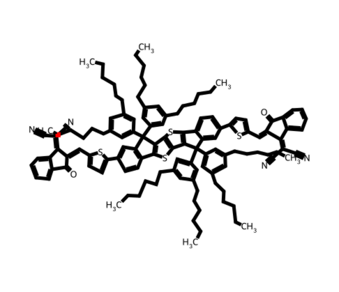 CCCCCCc1cc(CCCCCC)cc(C2(c3cc(CCCCCC)cc(CCCCCC)c3)c3cc(-c4ccc(/C=C5\C(=O)c6ccccc6C5=C(C#N)C#N)s4)ccc3-c3sc4c5c(sc4c32)-c2ccc(-c3ccc(/C=C4\C(=O)c6ccccc6C4=C(C#N)C#N)s3)cc2C5(c2cc(CCCCCC)cc(CCCCCC)c2)c2cc(CCCCCC)cc(CCCCCC)c2)c1